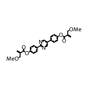 C=C(COC)C(=O)Oc1ccc(-c2cnc(-c3ccc(OC(=O)C(=C)COC)cc3)nc2)cc1